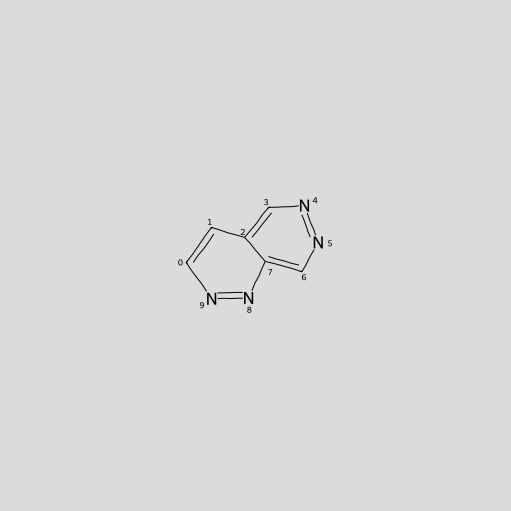 c1cc2cnncc2nn1